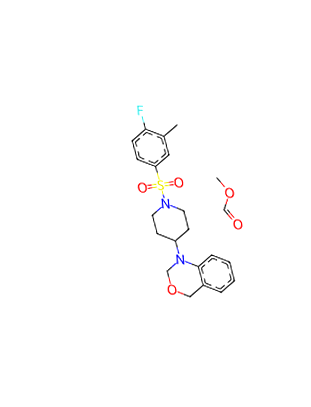 COC=O.Cc1cc(S(=O)(=O)N2CCC(N3COCc4ccccc43)CC2)ccc1F